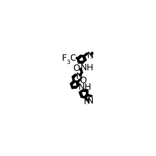 CN(C)Cc1cc(NC(=O)Cn2ccc3cccc(Nc4ccc5c(cnn5C)c4)c3c2=O)cc(C(F)(F)F)c1